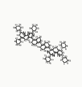 c1ccc(-c2cc(-c3ccccc3)c3ccc4c(-c5cccc6c(-c7cccc8c(-c9nc(-c%10ccccc%10)nc%10c9ccc9c(-c%11ccccc%11)cc(-c%11ccccc%11)nc9%10)cccc78)cccc56)nc(-c5ccccc5)nc4c3n2)cc1